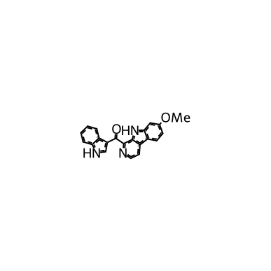 COc1ccc2c(c1)[nH]c1c(C(=O)c3c[nH]c4ccccc34)nccc12